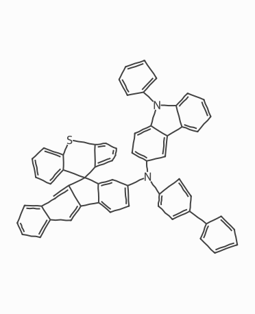 c1ccc(-c2ccc(N(c3ccc4c(c3)C3(c5ccccc5Sc5ccccc53)c3cc5ccccc5cc3-4)c3ccc4c(c3)c3ccccc3n4-c3ccccc3)cc2)cc1